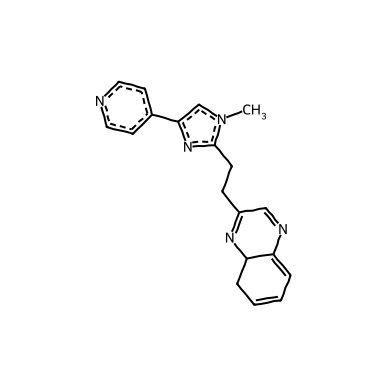 Cn1cc(-c2ccncc2)nc1CCC1=NC2CC=CC=C2N=C1